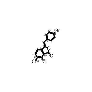 O=C1O/C(=C\c2ccc(Br)cc2)c2ccc(Cl)c(Cl)c21